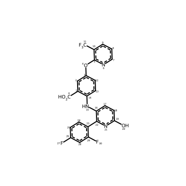 O=C(O)c1cc(Oc2ncccc2C(F)(F)F)ccc1Nc1ccc(O)nc1-c1ccc(F)cc1F